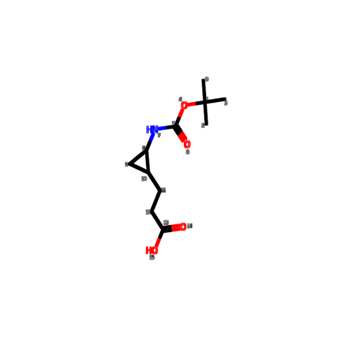 CC(C)(C)OC(=O)NC1CC1CCC(=O)O